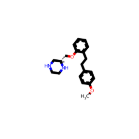 COc1ccc(CCc2ccccc2OC[C@H]2CNCCN2)cc1